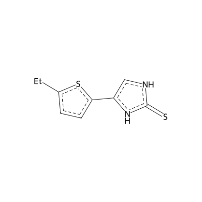 CCc1ccc(-c2c[nH]c(=S)[nH]2)s1